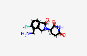 NCc1c(F)ccc2c1CN(C1CCC(=O)NC1=O)C2=O